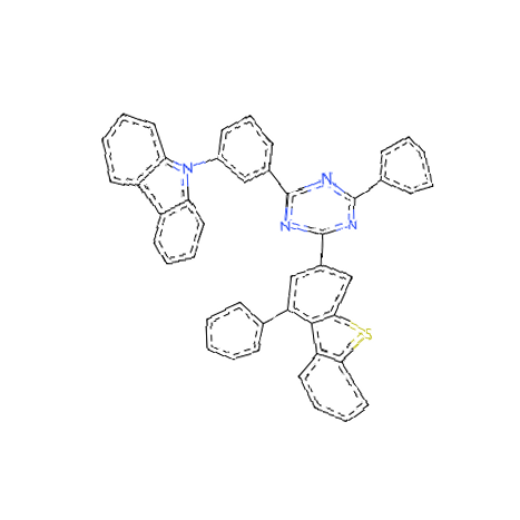 c1ccc(-c2nc(-c3cccc(-n4c5ccccc5c5ccccc54)c3)nc(-c3cc(-c4ccccc4)c4c(c3)sc3ccccc34)n2)cc1